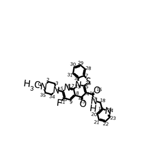 CN1CCN(c2nc3c(cc2F)c(=O)c(C(=O)NCc2ccccn2)c2sc4ccccc4n23)CC1